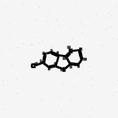 Clc1ccc2c(c1)sc1cccnc12